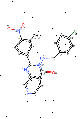 Cc1cc(-c2nc3cnccc3c(=O)n2NCc2ccc(Cl)cc2)ccc1[N+](=O)[O-]